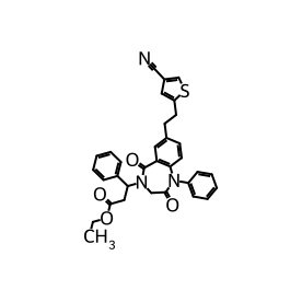 CCOC(=O)CC(c1ccccc1)N1CC(=O)N(c2ccccc2)c2ccc(CCc3cc(C#N)cs3)cc2C1=O